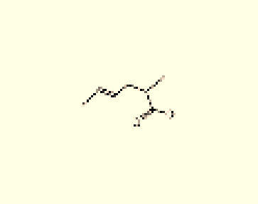 C/C=C/CC(C)C([O])=O